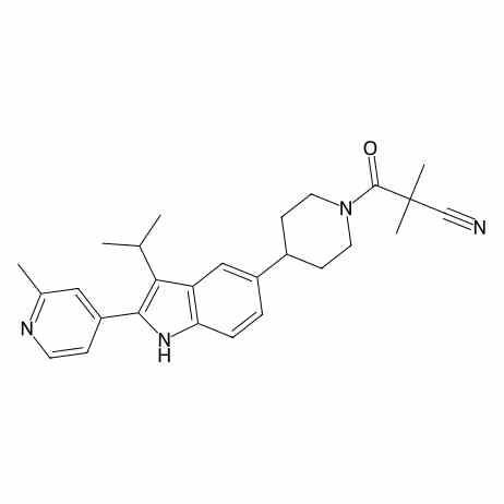 Cc1cc(-c2[nH]c3ccc(C4CCN(C(=O)C(C)(C)C#N)CC4)cc3c2C(C)C)ccn1